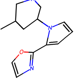 CC1CNCC(n2cccc2-c2ncco2)C1